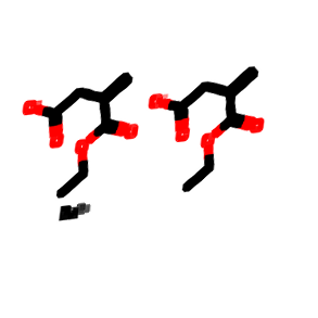 C=C(CC(=O)[O-])C(=O)OCC.C=C(CC(=O)[O-])C(=O)OCC.[Ba+2]